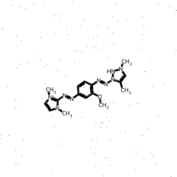 COc1cc(N=Nc2n(C)cc[n+]2C)ccc1N=NN1NN(C)C=C1C